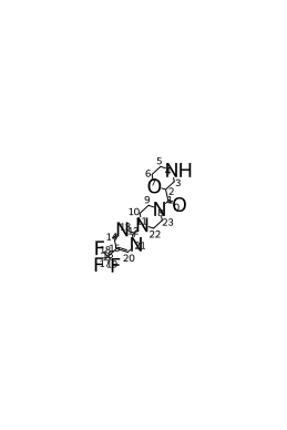 O=C(C1CNCCO1)N1CCN(c2ncc(C(F)(F)F)cn2)CC1